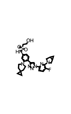 O=S(=O)(CCO)Nc1ccc(-c2cn(-c3ccc(F)c(N4CC5CC5C4)n3)nn2)c(N2CCC3(CC2)CC3)c1